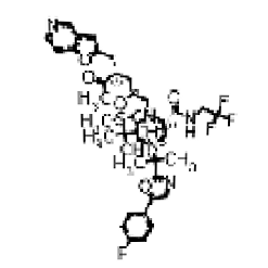 CC(=O)[C@H](Cc1cc2cnccc2o1)C[C@@H](CN1CCN(C(C)(C)c2ncc(-c3ccc(F)cc3)o2)C[C@H]1C(=O)NCC(F)(F)F)O[Si](C)(C)C(C)(C)C